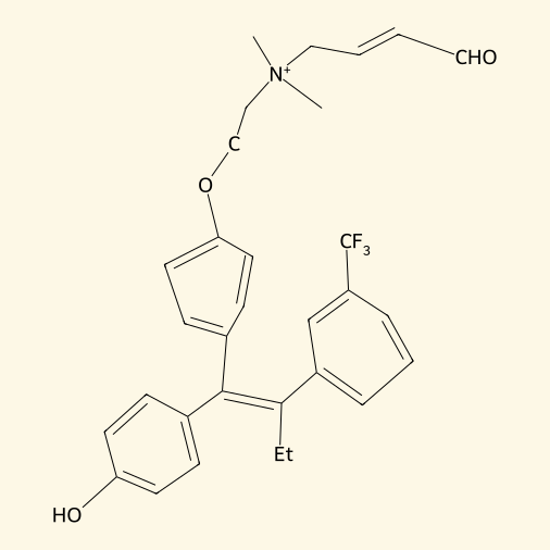 CC/C(=C(\c1ccc(O)cc1)c1ccc(OCC[N+](C)(C)C/C=C/C=O)cc1)c1cccc(C(F)(F)F)c1